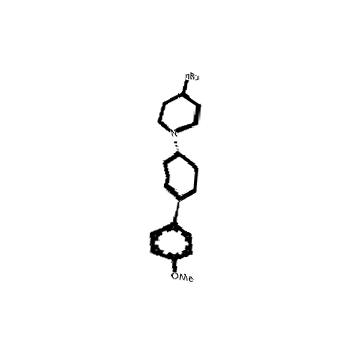 CCCCC1CCN([C@H]2CC[C@H](c3ccc(OC)cc3)CC2)CC1